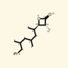 CC(C)CC(C)CC(C)CC(C)[C@H]1OC(=O)[C@@H]1C